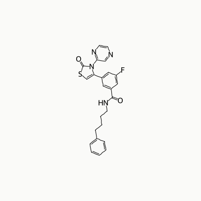 O=C(NCCCCc1ccccc1)c1cc(F)cc(-c2csc(=O)n2-c2cnccn2)c1